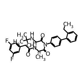 CCc1ccccc1-c1ccc(N(C(=O)CNC(C)(C)C)C(=O)[C@H](C)NC(=O)Cc2cc(F)cc(F)c2)cc1